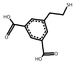 O=C(O)c1cc(CCS)cc(C(=O)O)c1